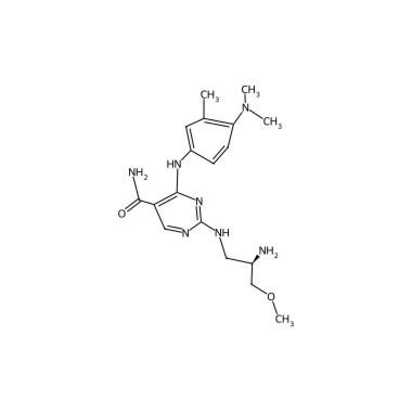 COC[C@H](N)CNc1ncc(C(N)=O)c(Nc2ccc(N(C)C)c(C)c2)n1